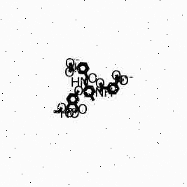 CCOC(=O)c1ccc(Oc2cc(C)c(NC(=O)c3cccc([N+](=O)[O-])c3)cc2NC(=O)c2cccc([N+](=O)[O-])c2)cc1C(=O)O